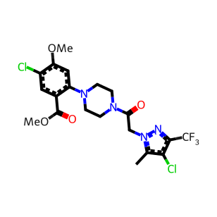 COC(=O)c1cc(Cl)c(OC)cc1N1CCN(C(=O)Cn2nc(C(F)(F)F)c(Cl)c2C)CC1